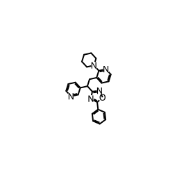 c1ccc(-c2nc(C(Cc3cccnc3N3CCCCC3)c3cccnc3)no2)cc1